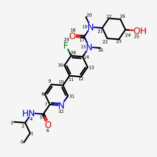 CCC(C)NC(=O)c1ccc(-c2ccc(N(C)C(=O)N(C)C3CCC(O)CC3)c(F)c2)cn1